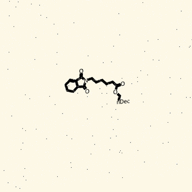 CCCCCCCCCCCOC(=O)CCCCCN1C(=O)C2=CCCCC2C1=O